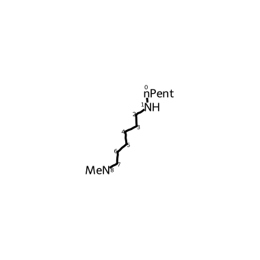 [CH2]CCCCNCCCCCCNC